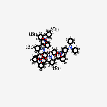 CC(C)(C)c1cc(-c2ccccc2)c(N2c3cc(-n4c5ccccc5c5cc(N(c6ccccc6)c6ccccc6)ccc54)ccc3B3c4ccc(-n5c6ccc(C(C)(C)C)cc6c6cc(C(C)(C)C)ccc65)cc4N(c4c(-c5ccccc5)cc(C(C)(C)C)cc4-c4ccccc4)c4cc(-n5c6ccccc6c6ccccc65)cc2c43)c(-c2ccccc2)c1